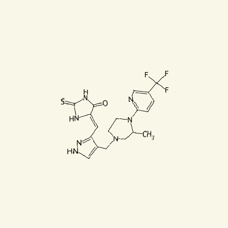 CC1CN(Cc2c[nH]nc2C=C2NC(=S)NC2=O)CCN1c1ccc(C(F)(F)F)cn1